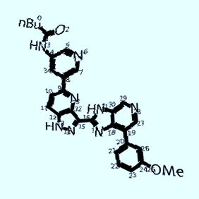 CCCCC(=O)Nc1cncc(-c2ccc3[nH]nc(-c4nc5c(-c6cccc(OC)c6)cncc5[nH]4)c3n2)c1